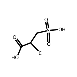 O=C(O)C(Cl)CS(=O)(=O)O